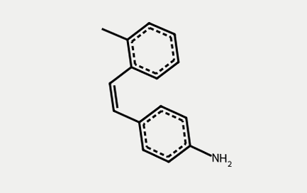 Cc1ccccc1/C=C\c1ccc(N)cc1